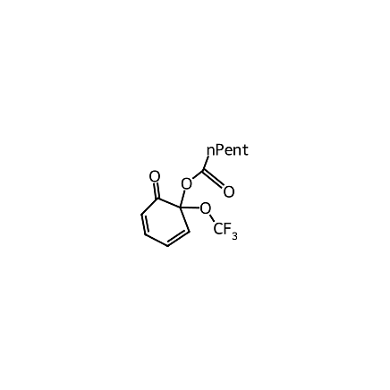 CCCCCC(=O)OC1(OC(F)(F)F)C=CC=CC1=O